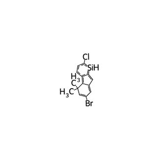 CC1(C)C=C(Br)C=C2C=c3[siH]c(Cl)ccc3=C21